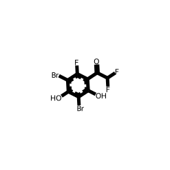 O=C(c1c(O)c(Br)c(O)c(Br)c1F)C(F)F